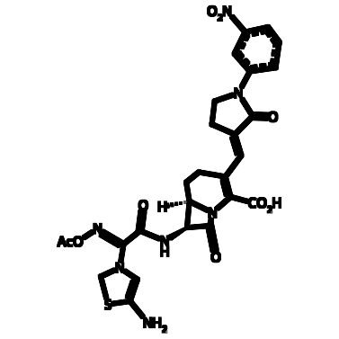 CC(=O)O/N=C(/C(=O)N[C@@H]1C(=O)N2C(C(=O)O)=C(/C=C3\CCN(c4cccc([N+](=O)[O-])c4)C3=O)CC[C@H]12)N1C=C(N)SC1